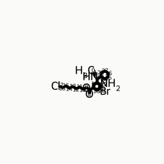 CCNC(c1cc(C(=O)OCCCCCCCCl)cc(Br)c1N)C1CCCCC1